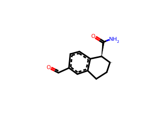 NC(=O)[C@H]1[CH]CCc2cc(C=O)ccc21